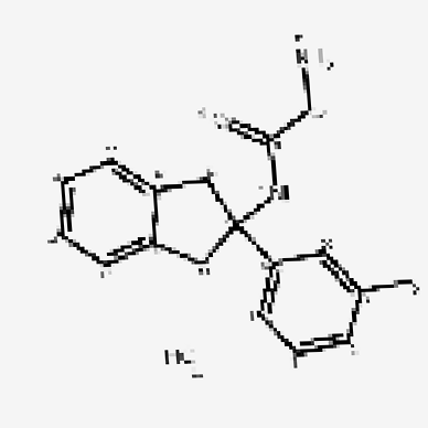 Cc1cccc(C2(NC(=O)CN)Cc3ccccc3C2)c1.Cl